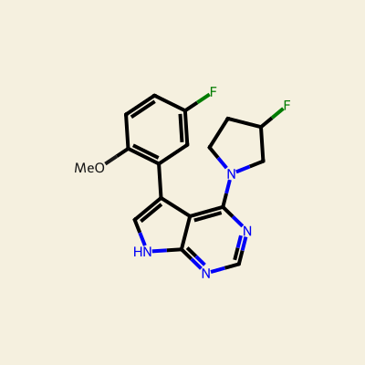 COc1ccc(F)cc1-c1c[nH]c2ncnc(N3CCC(F)C3)c12